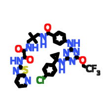 CC(C)(CNC(=O)C(=O)Nc1nc2cccnc2s1)CNC(=O)c1ccc(Nc2nc(NC3(c4ccc(Cl)cc4)CC3)nc(OCC(F)(F)F)n2)cc1